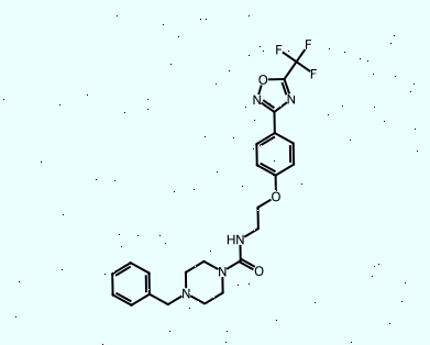 O=C(NCCOc1ccc(-c2noc(C(F)(F)F)n2)cc1)N1CCN(Cc2ccccc2)CC1